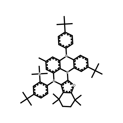 Cc1cc2c3c(c1)N(c1ccc(C(C)(C)C)cc1[Si](C)(C)C)c1c(oc4c1C(C)(C)CCC4(C)C)B3c1cc(C(C)(C)C)ccc1N2c1ccc(C(C)(C)C)cc1